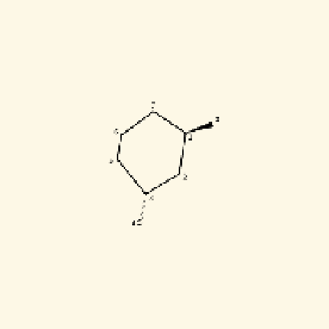 C[C@H]1[CH][C@H](C)CCC1